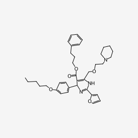 CCCCCOc1ccc(C2N=C(c3ccco3)NC(COCCN3CCCCC3)=C2C(=O)OCCCc2ccccc2)cc1